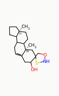 C[C@@]12CCCC1C1CC=C3CC(O)C4(CONS4)C[C@]3(C)C1CC2